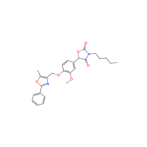 CCCCCN1C(=O)OC(c2ccc(OCc3nc(-c4ccccc4)oc3C)c(OC)c2)C1=O